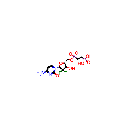 Nc1ccn([C@@H]2O[C@H](COP(=O)(O)CCP(=O)(O)O)[C@H](O)C2(F)F)c(=O)n1